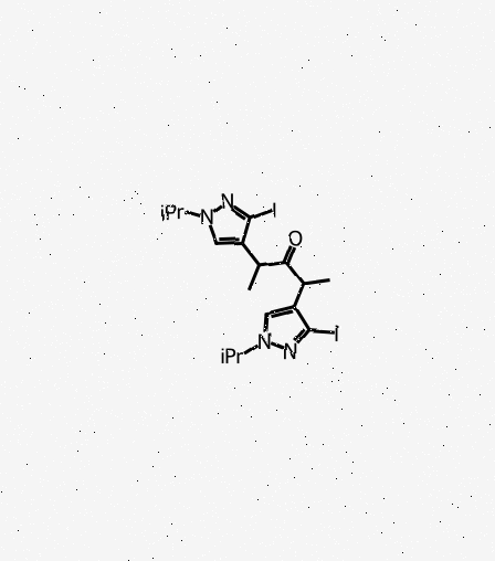 CC(C(=O)C(C)c1cn(C(C)C)nc1I)c1cn(C(C)C)nc1I